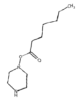 CCCCCCC(=O)ON1CCNCC1